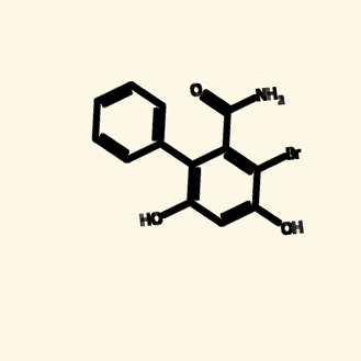 NC(=O)c1c(Br)c(O)cc(O)c1-c1ccccc1